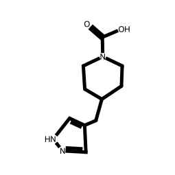 O=C(O)N1CCC(Cc2cn[nH]c2)CC1